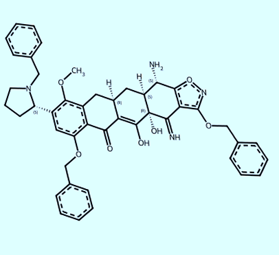 COc1c([C@@H]2CCCN2Cc2ccccc2)cc(OCc2ccccc2)c2c1C[C@H]1C[C@H]3[C@H](N)c4onc(OCc5ccccc5)c4C(=N)[C@@]3(O)C(O)=C1C2=O